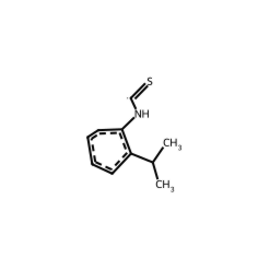 CC(C)c1ccccc1N[C]=S